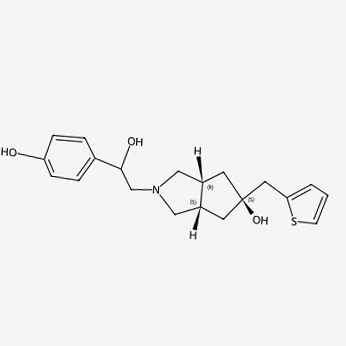 Oc1ccc(C(O)CN2C[C@@H]3C[C@](O)(Cc4cccs4)C[C@@H]3C2)cc1